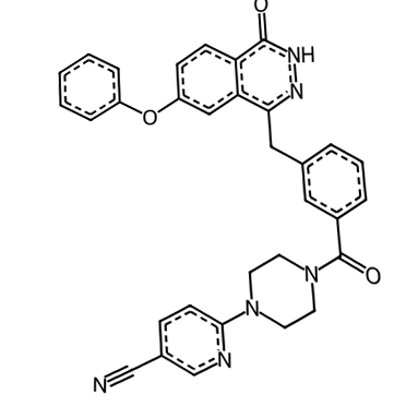 N#Cc1ccc(N2CCN(C(=O)c3cccc(Cc4n[nH]c(=O)c5ccc(Oc6ccccc6)cc45)c3)CC2)nc1